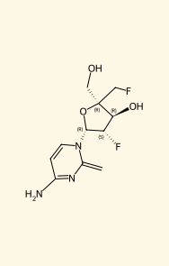 C=C1N=C(N)C=CN1[C@@H]1O[C@@](CO)(CF)[C@@H](O)[C@@H]1F